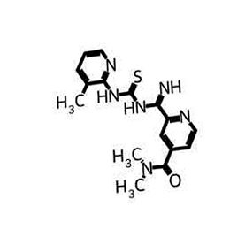 Cc1cccnc1NC(=S)NC(=N)c1cc(C(=O)N(C)C)ccn1